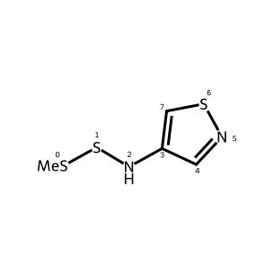 CSSNc1cnsc1